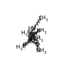 CCCCCCCCNCCC[C@@H](C)C1CC[C@H]2C3[C@H](OCCCOC)CC4C[C@H](OCCCN)CC[C@]4(C)[C@H]3C[C@H](OCCCN)[C@]12C